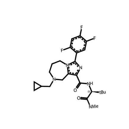 CNC(=O)[C@@H](NC(=O)c1nc(-c2cc(F)c(F)cc2F)n2c1CN(CC1CC1)CCC2)C(C)(C)C